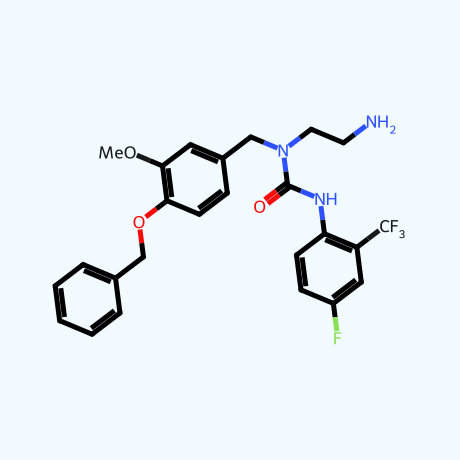 COc1cc(CN(CCN)C(=O)Nc2ccc(F)cc2C(F)(F)F)ccc1OCc1ccccc1